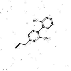 C=CCc1ccc(-c2ccccc2O)c(OC)c1